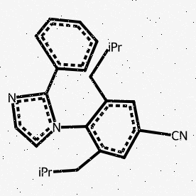 CC(C)Cc1cc(C#N)cc(CC(C)C)c1-n1ccnc1-c1ccccc1